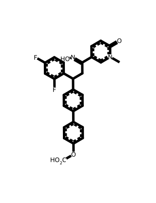 Cn1cc(/C(CC(c2ccc(-c3ccc(OC(=O)O)cc3)cc2)c2ccc(F)cc2F)=N/O)ccc1=O